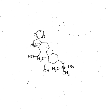 CC(C)(C)[Si](C)(C)OC1CC[C@](C)(C2CC[C@@]3(C)C(CCC34OCCO4)[C@@H]2CO)[C@@H](CO)C1